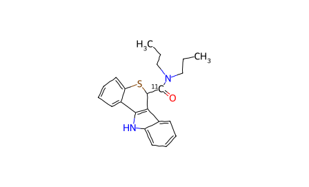 CCCN(CCC)[11C](=O)C1Sc2ccccc2-c2[nH]c3ccccc3c21